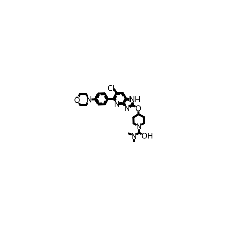 CN(C)C(O)N1CCC(Oc2nc3nc(-c4ccc(N5CCOCC5)cc4)c(Cl)cc3[nH]2)CC1